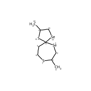 CC1C[Se]C2(CCS1)SC(C)C[Se]2